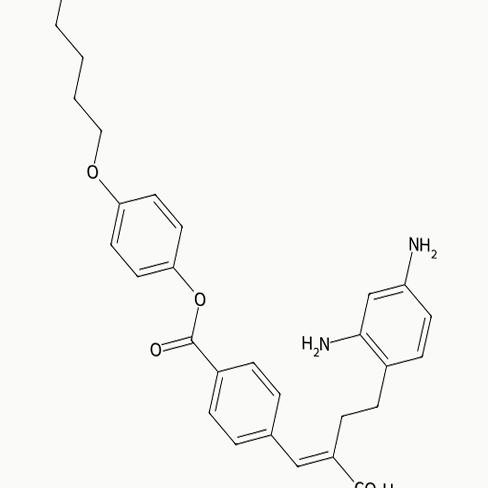 Nc1ccc(CC/C(=C\c2ccc(C(=O)Oc3ccc(OCCCCC(F)(F)F)cc3)cc2)C(=O)O)c(N)c1